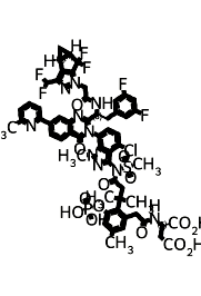 Cc1cc(CC(=O)N[C@@H](CC(=O)O)C(=O)O)c(C(C)(C)CC(=O)N(c2nn(C)c3c(-n4c([C@H](Cc5cc(F)cc(F)c5)NC(=O)Cn5nc(C(F)F)c6c5C(F)(F)[C@@H]5C[C@H]65)nc5cc(-c6cccc(C(F)(F)F)n6)ccc5c4=O)ccc(Cl)c23)S(C)(=O)=O)c(OP(=O)(O)O)c1